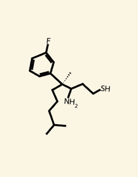 CC(C)CCC[C@@](C)(c1cccc(F)c1)C(N)CCS